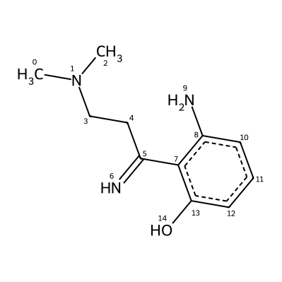 CN(C)CCC(=N)c1c(N)cccc1O